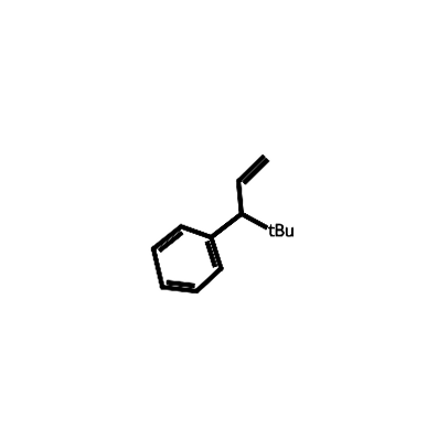 C=CC(c1ccccc1)C(C)(C)C